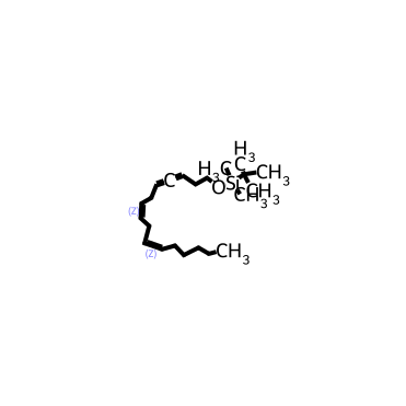 CCCCC/C=C\C/C=C\CC=C=CCCO[Si](C)(C)C(C)(C)C